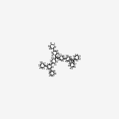 c1ccc(-c2ccc(N(c3ccc(-c4cc(-c5ccccc5)cc(-c5ccccc5)c4)cc3)c3ccc(-c4ccc5c(c4)c4ccccc4n5-c4ccccc4)cc3)cc2)cc1